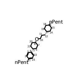 CCCCCc1ccc([C@H]2CC[C@H](OCCC[C@H]3CC[C@H](CCCCC)CC3)CC2)cc1